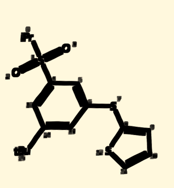 CC(C)S(=O)(=O)c1cc(Sc2cccs2)cc(C(C)(C)C)c1